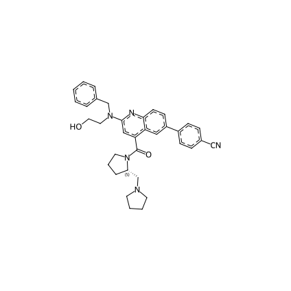 N#Cc1ccc(-c2ccc3nc(N(CCO)Cc4ccccc4)cc(C(=O)N4CCC[C@H]4CN4CCCC4)c3c2)cc1